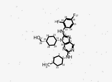 C[C@H]1CC[C@H](Nc2ncc3nc(Nc4ccc(F)cc4F)n([C@H]4CC[C@@H](CO)CC4)c3n2)CC1